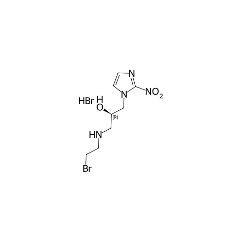 Br.O=[N+]([O-])c1nccn1C[C@H](O)CNCCBr